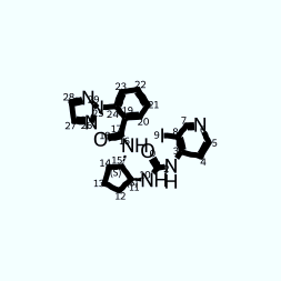 O=C(Nc1ccncc1I)N[C@H]1CCC[C@@H]1NC(=O)c1ccccc1-n1nccn1